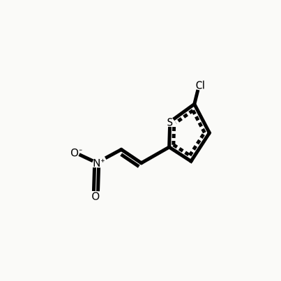 O=[N+]([O-])/C=C/c1ccc(Cl)s1